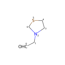 O=CCN1CCSC1